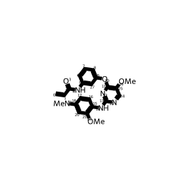 C=CC(=O)Nc1cccc(Oc2nc(Nc3ccc(NC)cc3OC)ncc2OC)c1